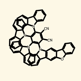 N#Cc1c(C#N)c(-n2c3ccccc3c3cc4oc5ccccc5c4cc32)c(-n2c3ccccc3c3ccccc32)c(-n2c3ccccc3c3ccccc32)c1-n1c2ccccc2c2ccccc21